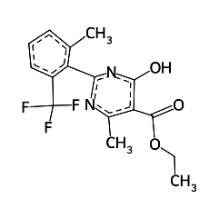 CCOC(=O)c1c(C)nc(-c2c(C)cccc2C(F)(F)F)nc1O